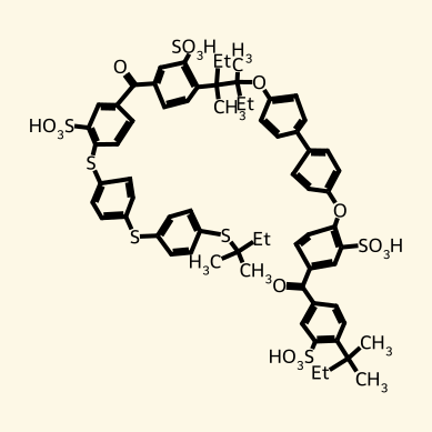 CCC(C)(C)Sc1ccc(Sc2ccc(Sc3ccc(C(=O)c4ccc(C(C)(CC)C(C)(CC)Oc5ccc(-c6ccc(Oc7ccc(C(=O)c8ccc(C(C)(C)CC)c(S(=O)(=O)O)c8)cc7S(=O)(=O)O)cc6)cc5)c(S(=O)(=O)O)c4)cc3S(=O)(=O)O)cc2)cc1